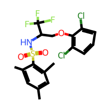 Cc1cc(C)c(S(=O)(=O)NC(COc2c(Cl)cccc2Cl)C(F)(F)F)c(C)c1